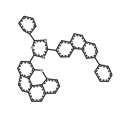 c1ccc(-c2ccc3ccc4cc(-c5nc(-c6ccccc6)nc(-c6ccc7ccc8ccc9cccc%10c9c8c7c6O%10)n5)ccc4c3c2)cc1